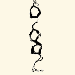 CCCCCCCCCCCCOc1ccc(-c2ncc(CC[C@H]3CC[C@H](CCCC)CC3)cn2)cc1